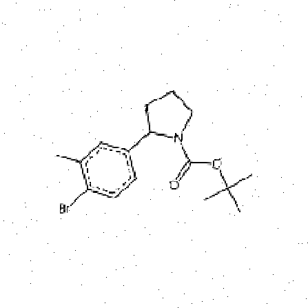 Cc1cc(C2CCCN2C(=O)OC(C)(C)C)ccc1Br